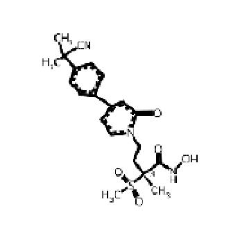 CC(C)(C#N)c1ccc(-c2ccn(CC[C@](C)(C(=O)NO)S(C)(=O)=O)c(=O)c2)cc1